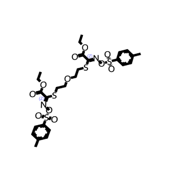 CCOC(=O)/C(=N/OS(=O)(=O)c1ccc(C)cc1)SCCOCCS/C(=N\OS(=O)(=O)c1ccc(C)cc1)C(=O)OCC